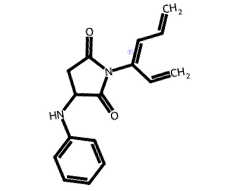 C=C/C=C(\C=C)N1C(=O)CC(Nc2ccccc2)C1=O